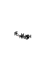 CC[C@]1(c2cccc(NS(=O)(=O)C3CC3)c2)[C@@H]2CN(CCCC3CCC(F)(F)CC3)C[C@@H]21